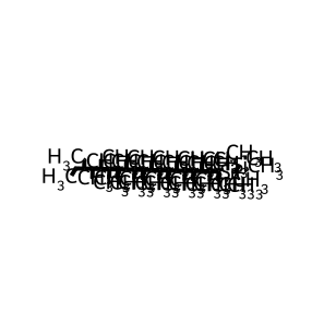 CCC(C)(CC)C(C)(CC)C(C)(CC)C(C)(CC)C(C)(CC)C(C)(CC)C(C)(CC)C(C)(CC)C(C)(CC)C(C)(CC)C(C)(CC)C(C)(CC)C(C)(CC)C(C)(CC)C(C)(CC)C(C)(CC)C(C)(CC)[Si](CC)(CC)[C@H](C)[Si](CC)(CC)CC